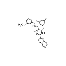 CCc1cccc(CNCC(O)C(Cc2cc(F)cc(F)c2)NC(=O)c2ccc3cnccc3n2)c1